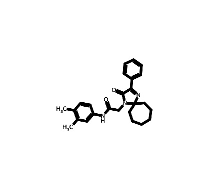 Cc1ccc(NC(=O)CN2C(=O)C(c3ccccc3)=NC23CCCCCC3)cc1C